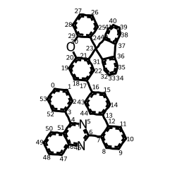 c1ccc(-c2nc(-c3ccccc3-c3ccc(-c4ccc5c(c4)C4(c6ccccc6O5)c5ccccc5-c5ccccc54)cc3)nc3ccccc23)cc1